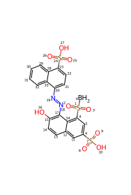 BS(=O)(=O)c1cc(S(=O)(=O)O)cc2ccc(O)c(/N=N/c3ccc(S(=O)(=O)O)c4ccccc34)c12